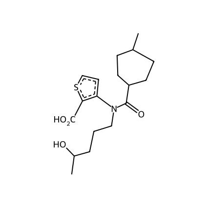 CC(O)CCCN(C(=O)C1CCC(C)CC1)c1ccsc1C(=O)O